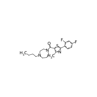 CCCCN1CCCN(C(=O)c2sc(-c3ccc(F)cc3F)nc2C)CC1